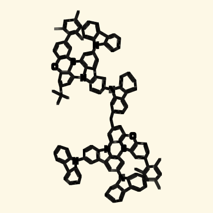 Cc1cc(C)c(-c2ccc3c(c2)B2c4c(cc(Cc5ccc6c7ccccc7n(-c7ccc8c(c7)c7cc(-n9c%10ccccc%10c%10ccccc%109)cc9c7n8-c7cc(C(C)(C)C)cc8c7B9c7cc(-c9c(C)cc(C)cc9C)ccc7O8)c6c5)cc4-n4c5ccc(-n6c7ccccc7c7ccccc76)cc5c5cc(-n6c7ccccc7c7ccccc76)cc2c54)O3)c(C)c1